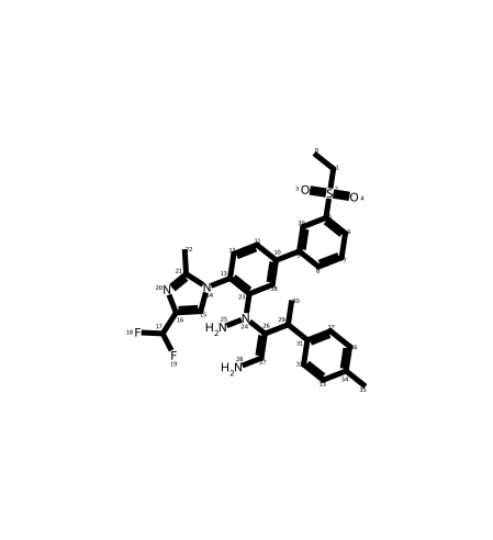 CCS(=O)(=O)c1cccc(-c2ccc(-n3cc(C(F)F)nc3C)c(N(N)/C(=C\N)C(C)c3ccc(C)cc3)c2)c1